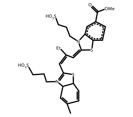 CCC(=CC1=[N+](CCCS(=O)(=O)O)C2C=C(C)C=CC2S1)C=C1Sc2ccc(C(=O)OC)cc2N1CCCS(=O)(=O)O